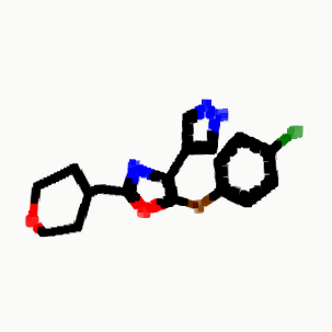 Clc1ccc(Sc2oc(C3CCOCC3)nc2-c2cn[nH]c2)cc1